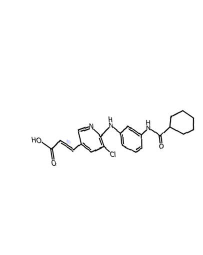 O=C(O)/C=C/c1cnc(Nc2cccc(NC(=O)C3CCCCC3)c2)c(Cl)c1